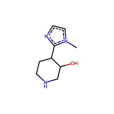 Cn1ccnc1C1CCNCC1O